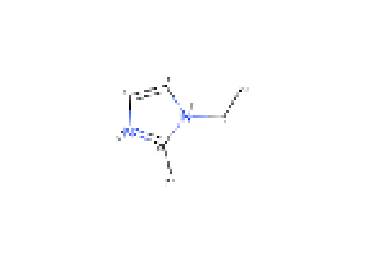 CCN1C=C[N+]=C1C